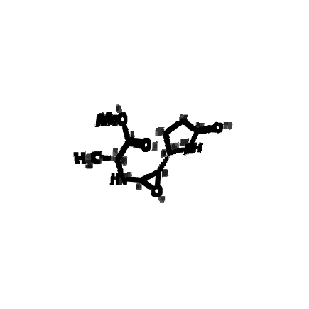 COC(=O)[C@@H](C)NC1OC1[C@@H]1CCC(=O)N1